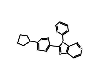 c1ccc(-n2c(-c3ccc(N4CCCC4)cc3)nc3ccncc32)nc1